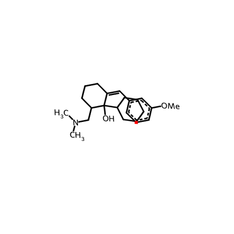 COc1cccc(/C=C2/CCCC(CN(C)C)C2(O)C2CCCCC2)c1